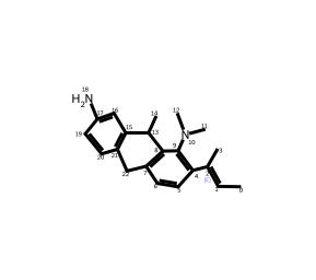 C/C=C(\C)c1ccc2c(c1N(C)C)C(C)c1cc(N)ccc1C2